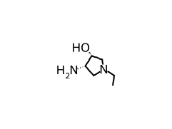 CCN1C[C@@H](O)[C@@H](N)C1